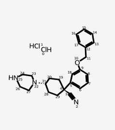 Cl.Cl.N#C[C@]1(c2cccc(OCc3ccccc3)c2)CC[C@@H](N2CCNCC2)CC1